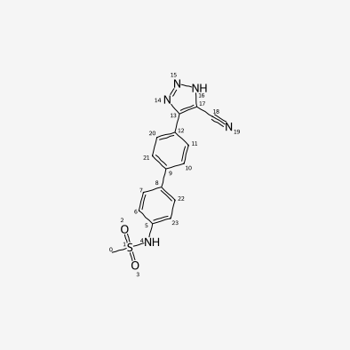 CS(=O)(=O)Nc1ccc(-c2ccc(-c3nn[nH]c3C#N)cc2)cc1